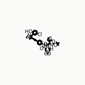 Cn1cc(C#Cc2ccc(NC(=O)[C@H]3CS(=O)(=O)CCN3C(=O)C(NC(=O)OC(C)(C)C)c3ccsc3)cc2)c(-c2cc(Cl)ccc2O)n1